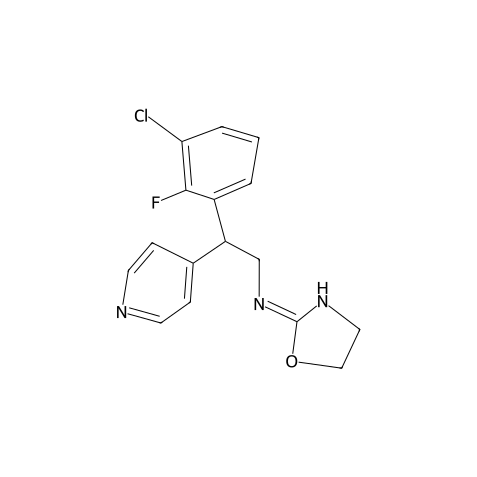 Fc1c(Cl)cccc1C(CN=C1NCCO1)c1ccncc1